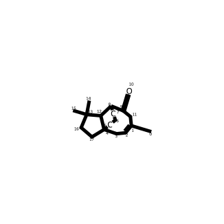 C/C1=C/CC23CCCC(C(=O)C1)C2C(C)(C)CC3